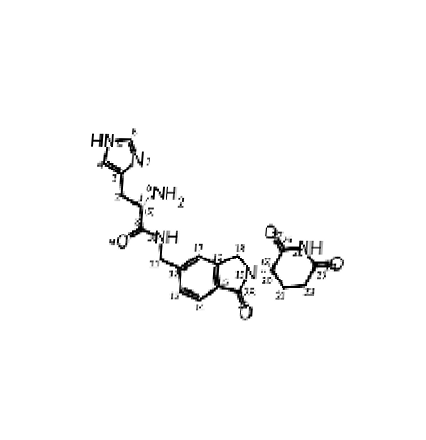 N[C@@H](Cc1c[nH]cn1)C(=O)NCc1ccc2c(c1)CN([C@H]1CCC(=O)NC1=O)C2=O